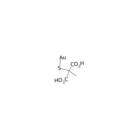 CC([S][Au])(C(=O)O)C(=O)O